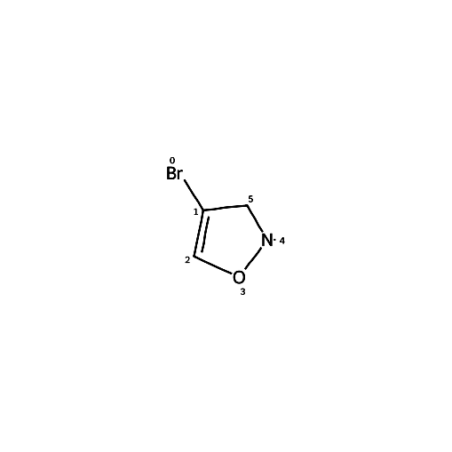 BrC1=CO[N]C1